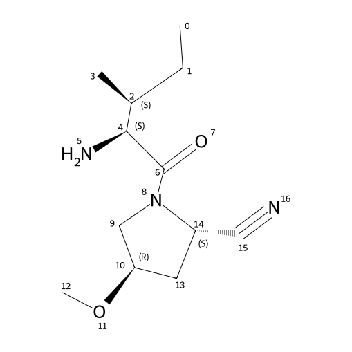 CC[C@H](C)[C@H](N)C(=O)N1C[C@H](OC)C[C@H]1C#N